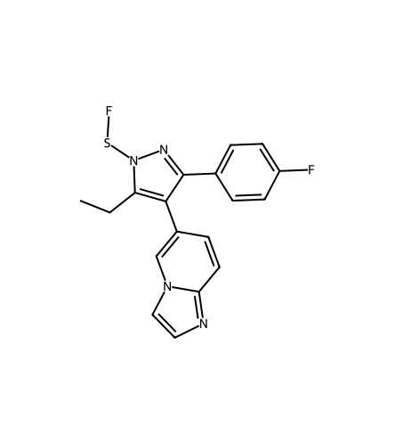 CCc1c(-c2ccc3nccn3c2)c(-c2ccc(F)cc2)nn1SF